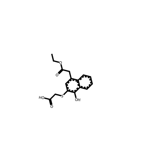 CCOC(=O)Cc1cc(SCC(=O)O)c(O)c2ccccc12